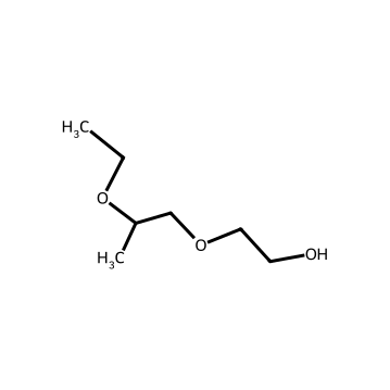 CCOC(C)COCCO